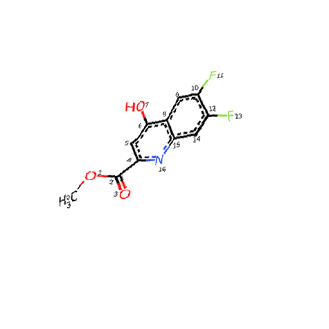 COC(=O)c1cc(O)c2cc(F)c(F)cc2n1